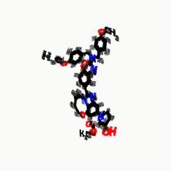 COC(=O)[C@H]1[C@H](O)CCN1c1cc2c3c(c1)nc(-c1ccc4oc(N(Cc5ccc(OC)cc5)Cc5ccc(OC)cc5)nc4c1)n3CCCCO2